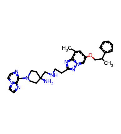 Cc1cc(OCC(C)c2ccccc2)cn2nc(CCNCC3(N)CCN(c4nccn5ccnc45)CC3)nc12